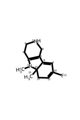 CN1C2=C(CNCC2)C2=CC(F)=CCC21C